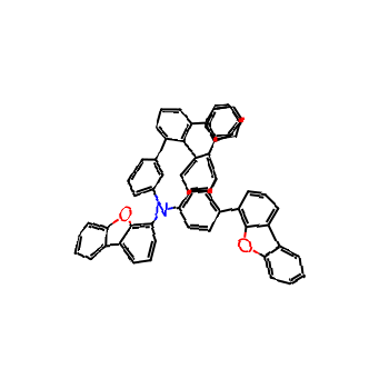 c1ccc(-c2ccccc2-c2c(-c3ccccc3)cccc2-c2cccc(N(c3ccc(-c4cccc5c4oc4ccccc45)cc3)c3cccc4c3oc3ccccc34)c2)cc1